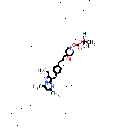 CCc1nn2c(C)cc(C)nc2c1Cc1ccc(CCCC2(O)CCN(OC(=O)OC(C)(C)C)CC2)cc1